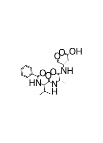 CC(C)C(NC(=O)c1ccccc1)C(=O)N[C@@H](C)C(=O)N[C@H](C=O)CC(=O)O